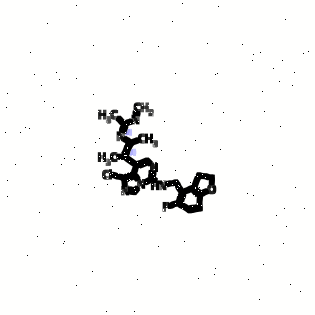 C=N/C(C)=N\C(C)=C(/C)c1cnc(NCc2c(F)ccc3c2CCO3)n2cnc(Cl)c12